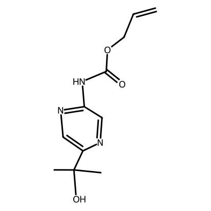 C=CCOC(=O)Nc1cnc(C(C)(C)O)cn1